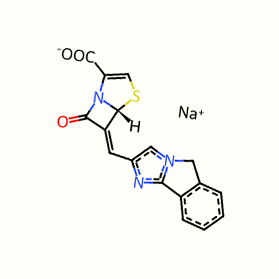 O=C([O-])C1=CS[C@@H]2/C(=C\c3cn4c(n3)-c3ccccc3C4)C(=O)N12.[Na+]